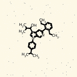 CCc1cccc(CC)c1-c1cc2c(C(O)C(C)C)cn(-c3ccc(C(C)C)cc3)c2cn1